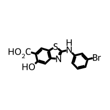 O=C(O)c1cc2sc(Nc3cccc(Br)c3)nc2cc1O